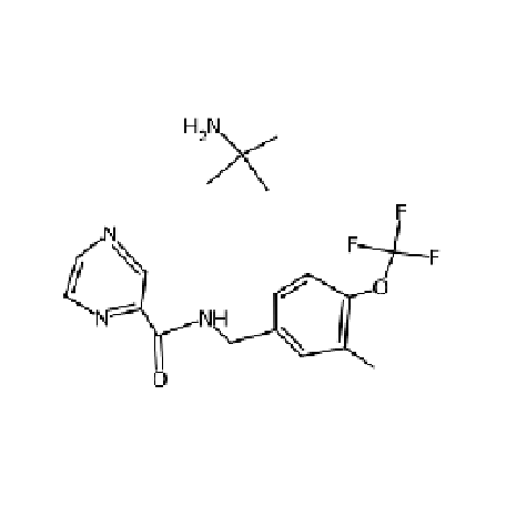 CC(C)(C)N.Cc1cc(CNC(=O)c2cnccn2)ccc1OC(F)(F)F